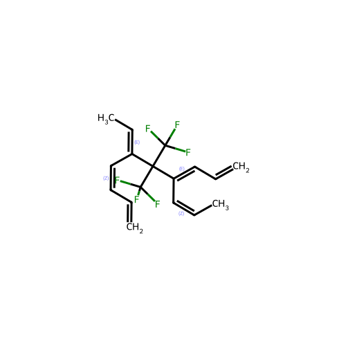 C=C/C=C\C(=C/C)C(C(/C=C\C)=C/C=C)(C(F)(F)F)C(F)(F)F